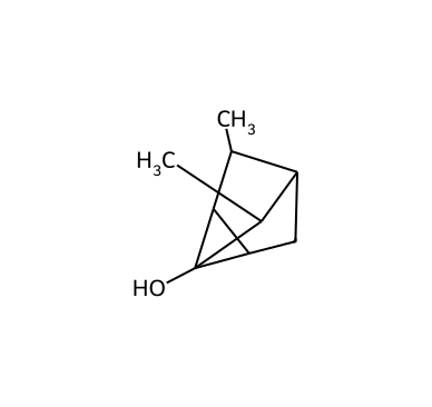 CC1C2CC3C1C3(O)C2C